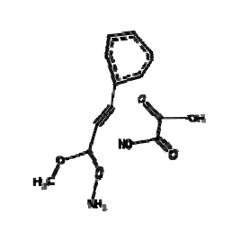 COC(C#Cc1ccccc1)ON.O=C(O)C(=O)O